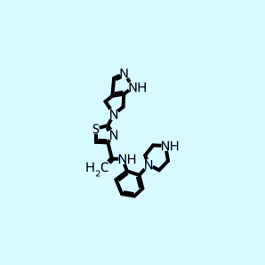 C=C(Nc1ccccc1N1CCNCC1)c1csc(N2Cc3cn[nH]c3C2)n1